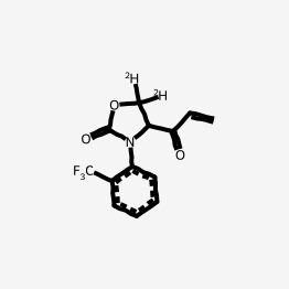 [2H]C1([2H])OC(=O)N(c2ccccc2C(F)(F)F)C1C(=O)C=C